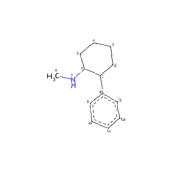 CNC1CCCCC1c1ccccc1